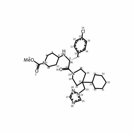 COC(=O)N1CCC(N[C@H](Cc2ccc(Cl)cc2)C(=O)N2CCC(Cn3cncn3)(C3CCCCC3)CC2)CC1